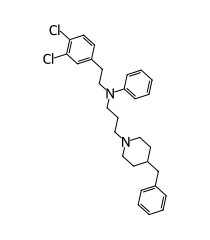 Clc1ccc(CCN(CCCN2CCC(Cc3ccccc3)CC2)c2ccccc2)cc1Cl